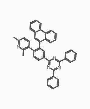 Cc1ccc(-c2ccc(-c3nc(-c4ccccc4)nc(-c4ccccc4)n3)cc2-c2cc3ccccc3c3ccccc23)c(C)n1